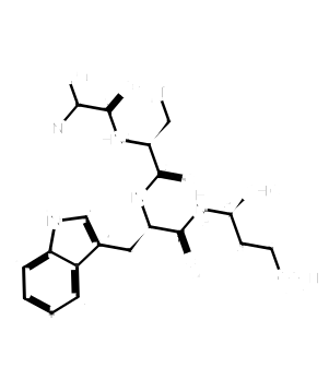 CCC(C)C(N)C(=O)N[C@@H](CC(C)C)C(=O)N[C@H](Cc1c[nH]c2ccccc12)C(=O)N[C@@H]([C]=O)CCC(=O)O